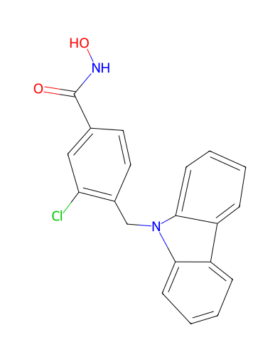 O=C(NO)c1ccc(Cn2c3ccccc3c3ccccc32)c(Cl)c1